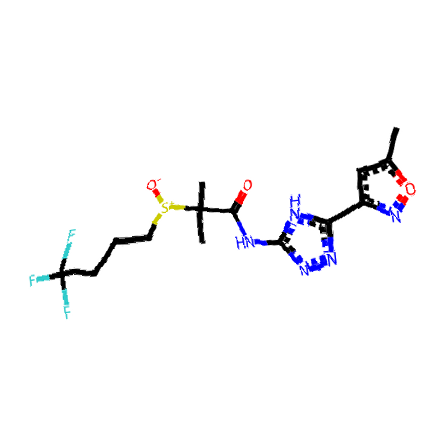 Cc1cc(-c2nnc(NC(=O)C(C)(C)[S+]([O-])CCCC(F)(F)F)[nH]2)no1